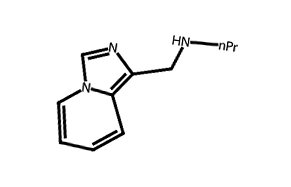 CCCNCc1ncn2ccccc12